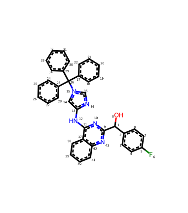 OC(c1ccc(F)cc1)c1nc(Nc2cn(C(c3ccccc3)(c3ccccc3)c3ccccc3)cn2)c2ccccc2n1